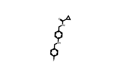 O=C(NCc1ccc(NCc2ccc(F)cc2)cc1)C1CC1